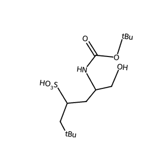 CC(C)(C)CC(CC(CO)NC(=O)OC(C)(C)C)S(=O)(=O)O